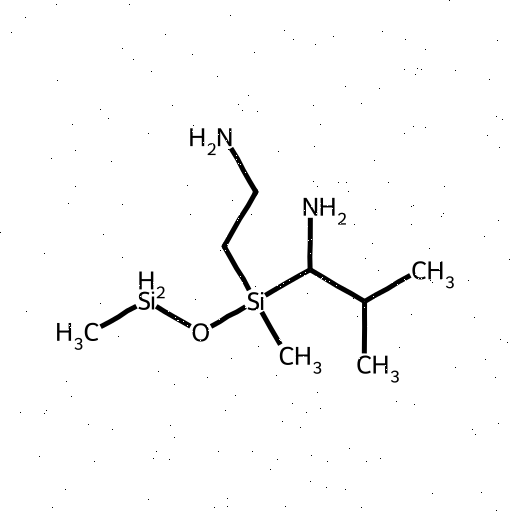 C[SiH2]O[Si](C)(CCN)C(N)C(C)C